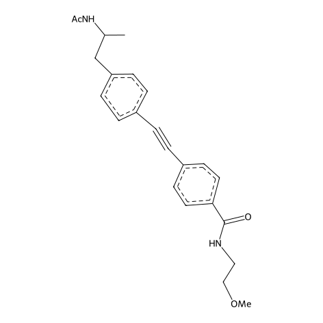 COCCNC(=O)c1ccc(C#Cc2ccc(CC(C)NC(C)=O)cc2)cc1